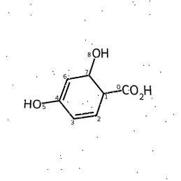 O=C(O)C1C=CC(O)=CC1O